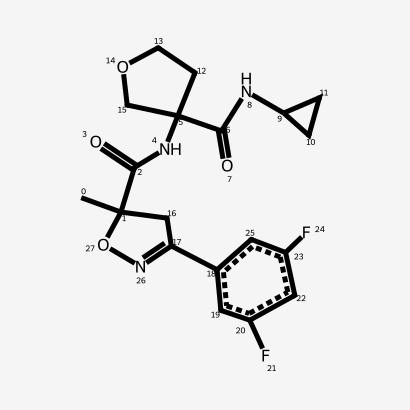 CC1(C(=O)NC2(C(=O)NC3CC3)CCOC2)CC(c2cc(F)cc(F)c2)=NO1